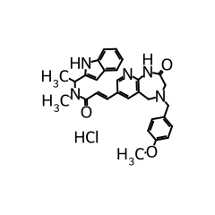 COc1ccc(CN2CC(=O)Nc3ncc(C=CC(=O)N(C)C(C)c4cc5ccccc5[nH]4)cc3C2)cc1.Cl